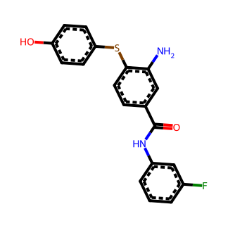 Nc1cc(C(=O)Nc2cccc(F)c2)ccc1Sc1ccc(O)cc1